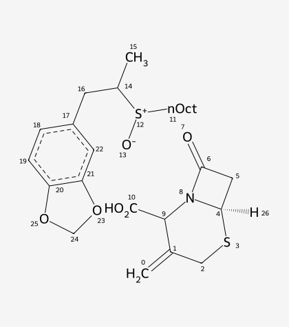 C=C1CS[C@@H]2CC(=O)N2C1C(=O)O.CCCCCCCC[S+]([O-])C(C)Cc1ccc2c(c1)OCO2